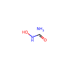 N.O=CNO